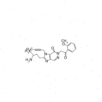 CC#CCn1c(CCC(C)N)nc2cnn(CC(=O)c3ccccc3OC)c(=O)c21